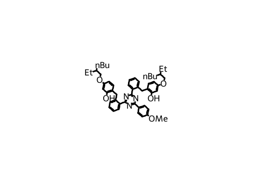 CCCCC(CC)COc1ccc(Cc2ccccc2-c2nc(-c3ccc(OC)cc3)nc(-c3ccccc3Cc3ccc(OCC(CC)CCCC)cc3O)n2)c(O)c1